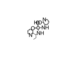 CCC(Nc1c(Nc2cccnc2O)c(=O)c1=O)c1ccccn1